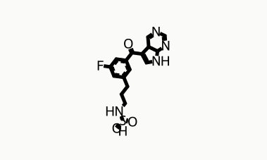 O=C(C1=CNC2N=CN=CC12)c1cc(F)cc(CCCN[SH](=O)=O)c1